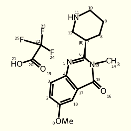 COc1ccc2nc([C@@H]3CCCNC3)n(C)c(=O)c2c1.O=C(O)C(F)(F)F